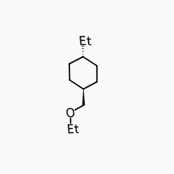 CCOC[C@H]1CC[C@H](CC)CC1